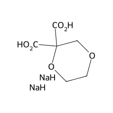 O=C(O)C1(C(=O)O)COCCO1.[NaH].[NaH]